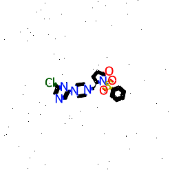 O=C1CC[C@@H](CN2CCN(c3cncc(Cl)n3)CC2)N1S(=O)(=O)c1ccccc1